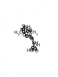 COc1cccc(Nc2c(C(N)=O)cnc3c(C)cc(S(=O)(=O)c4cccc(C(=O)N5CCN(CCNC[C@H](O)c6ccc(O)c7[nH]c(=O)ccc67)CC5)c4)cc23)c1